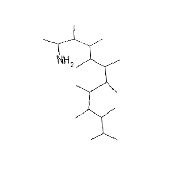 CC(C)C(C)C(C)C(C)C(C)C(C)C(C)C(C)C(C)C(C)N